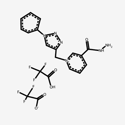 NNC(=O)c1ccc[n+](Cc2cn(-c3ccccc3)nn2)c1.O=C(O)C(F)(F)F.O=C([O-])C(F)(F)F